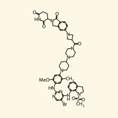 COc1cc(N2CCC(N3CCN(C(=O)C4CN(c5ccc6c(c5)CN(C5CCC(=O)NC5=O)C6=O)C4)CC3)CC2)c(C)cc1Nc1ncc(Br)c(Nc2cccc3c2N(S(C)(=O)=O)CC3)n1